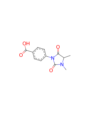 CC1C(=O)N(c2ccc(C(=O)O)cc2)C(=O)N1C